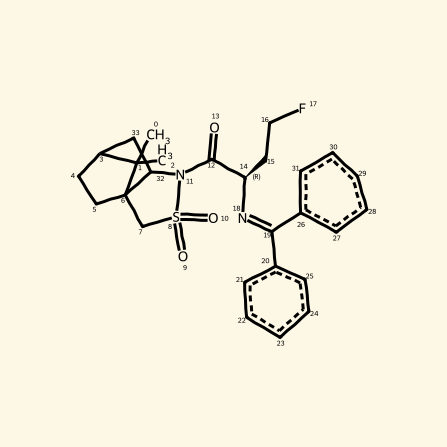 CC1(C)C2CCC13CS(=O)(=O)N(C(=O)[C@@H](CCF)N=C(c1ccccc1)c1ccccc1)C3C2